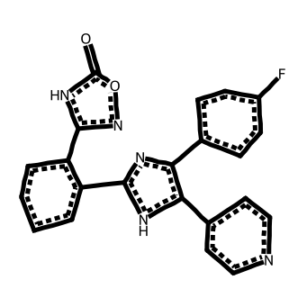 O=c1[nH]c(-c2ccccc2-c2nc(-c3ccc(F)cc3)c(-c3ccncc3)[nH]2)no1